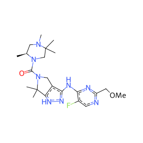 COCc1ncc(F)c(Nc2n[nH]c3c2CN(C(=O)N2CC(C)(C)N(C)C[C@@H]2C)C3(C)C)n1